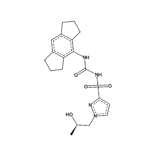 C[C@@H](O)Cn1ccc(S(=O)(=O)NC(=O)Nc2c3c(cc4c2CCC4)CCC3)n1